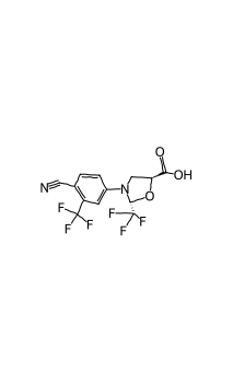 N#Cc1ccc(N2C[C@@H](C(=O)O)O[C@@H]2C(F)(F)F)cc1C(F)(F)F